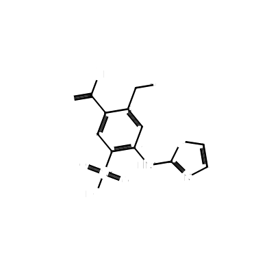 CCc1cc(Nc2nccs2)c(S(C)(=O)=O)cc1C(=O)Cl